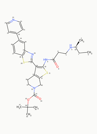 CC[C@H](C)NCCC(=O)Nc1sc2c(c1-c1nc3cc(-c4ccncc4)ccc3s1)CCN(C(=O)OC(C)(C)C)C2